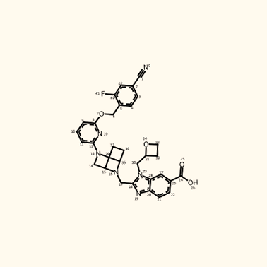 N#Cc1ccc(COc2cccc(N3CC4N(Cc5nc6ccc(C(=O)O)cc6n5CC5CCO5)C5CCC543)n2)c(F)c1